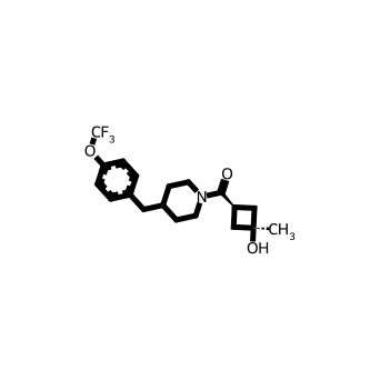 C[C@]1(O)C[C@@H](C(=O)N2CCC(Cc3ccc(OC(F)(F)F)cc3)CC2)C1